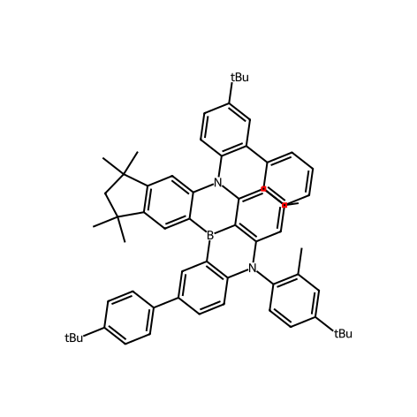 Cc1cc2c3c(c1)N(c1ccc(C(C)(C)C)cc1-c1ccccc1)c1cc4c(cc1B3c1cc(-c3ccc(C(C)(C)C)cc3)ccc1N2c1ccc(C(C)(C)C)cc1C)C(C)(C)CC4(C)C